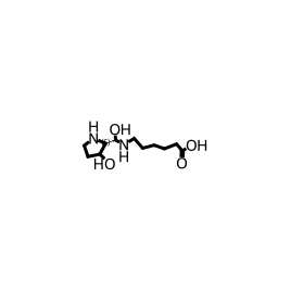 O=C(O)CCCCCNC(O)[C@H]1NCCC1O